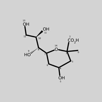 CC1(C(=O)O)CC(O)CC([C@H](O)[C@H](O)CO)O1